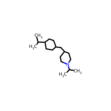 CC(C)C1CCC(CC2CCN(C(C)C)CC2)CC1